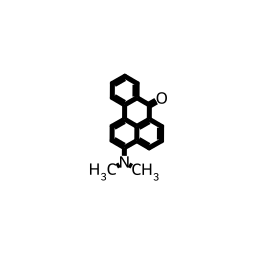 CN(C)c1ccc2c3c(cccc13)C(=O)c1ccccc1-2